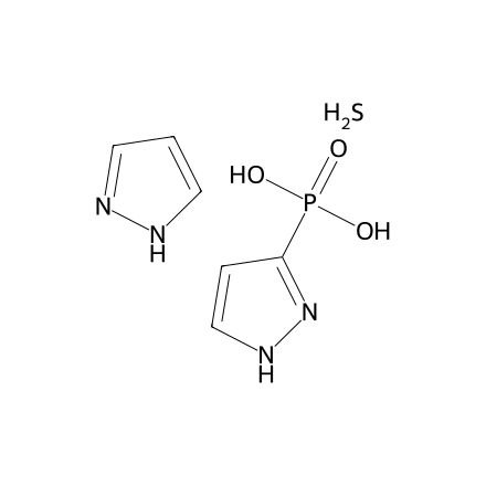 O=P(O)(O)c1cc[nH]n1.S.c1cn[nH]c1